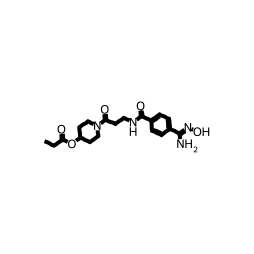 CCC(=O)OC1CCN(C(=O)CCNC(=O)c2ccc(C(N)=NO)cc2)CC1